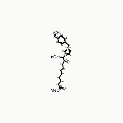 C=Cc1ccc(C[n+]2ccn(C(CCCCCCCC)C(O)CCCCCCCC(=O)OC)c2)cc1